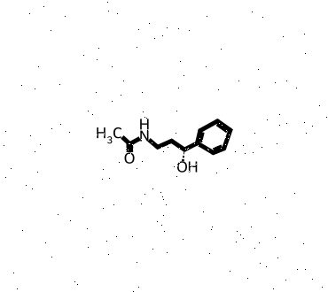 CC(=O)NCC[C@@H](O)c1ccccc1